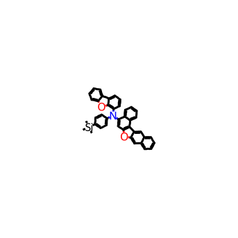 C[Si](C)(C)c1ccc(N(c2cc3oc4cc5ccccc5cc4c3c3ccccc23)c2cccc3c2oc2ccccc23)cc1